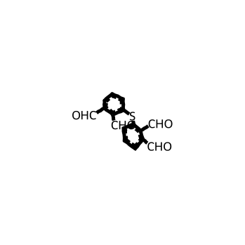 O=Cc1cccc(Sc2cccc(C=O)c2C=O)c1C=O